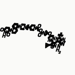 CC(C)(C1CCN(C(=O)COC(=O)N2CC(Oc3cnc(-c4c(-c5nn(C(C)(C)C)c6ncnc(N)c56)noc4C4CC4)nc3)C2)CC1)N1CCN(c2cccc3c2CCCN3C2CCC(=O)NC2=O)CC1